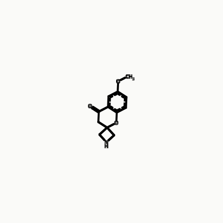 COc1ccc2c(c1)C(=O)CC1(CNC1)O2